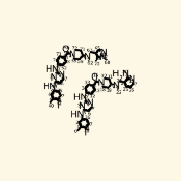 Cc1cc(Nc2ccnc(Nc3ccc(C(=O)N4CCC(N(C)Cc5cccnc5N)CC4)cc3)n2)ccc1F.Cc1cc(Nc2ccnc(Nc3ccc(C(=O)N4CCC(N(C)Cc5cnn(C)c5C)CC4)cc3)n2)ccc1F